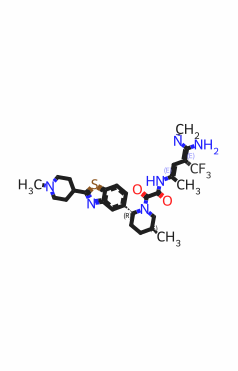 C=N/C(N)=C(\C=C(/C)NC(=O)C(=O)N1C[C@@H](C)CC[C@@H]1c1ccc2sc(C3CCN(C)CC3)nc2c1)C(F)(F)F